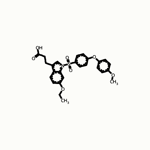 CCOc1ccc2c(CCC(=O)O)cn(S(=O)(=O)c3ccc(Oc4ccc(OC)cc4)cc3)c2c1